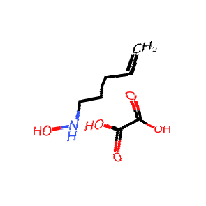 C=CCCCNO.O=C(O)C(=O)O